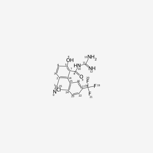 N#Cc1ccc(O)c(C(=O)NC(=N)N)c1-c1cc(C(F)(F)F)ccc1Cl